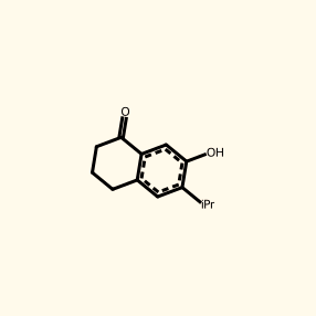 CC(C)c1cc2c(cc1O)C(=O)CCC2